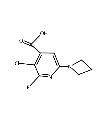 O=C(O)c1cc(N2CCC2)nc(F)c1Cl